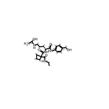 CCNC(=O)C1(C(=O)N[C@@H](CCCNC(N)O)C(=O)Nc2ccc(CO)cc2)CCC1